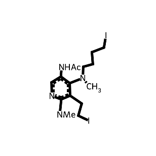 CNc1ncc(NC(C)=O)c(N(C)CCCCI)c1CCI